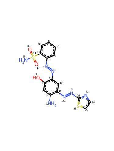 Nc1cc(O)c(/N=N/c2ccccc2S(N)(=O)=O)cc1/N=N/c1nccs1